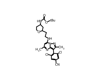 Cc1cc(NCCC2CC(NC(=O)OC(C)(C)C)CCO2)n2nc(C)c(-c3c(Cl)cc(C#N)cc3Cl)c2n1